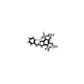 C[Si](C)(C)c1c(CO)c(CO)c([Si](C)(C)C)c2c1CN(Cc1ccccc1)C2